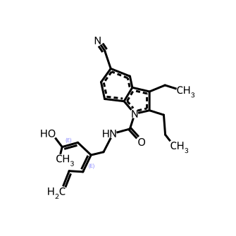 C=C/C=C(\C=C(/C)O)CNC(=O)n1c(CCC)c(CC)c2cc(C#N)ccc21